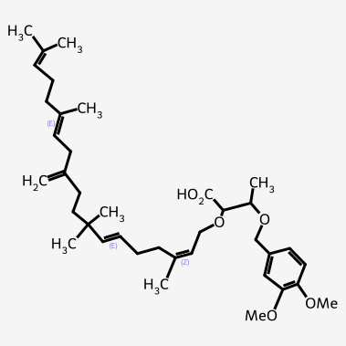 C=C(C/C=C(\C)CCC=C(C)C)CCC(C)(C)/C=C/CC/C(C)=C\COC(C(=O)O)C(C)OCc1ccc(OC)c(OC)c1